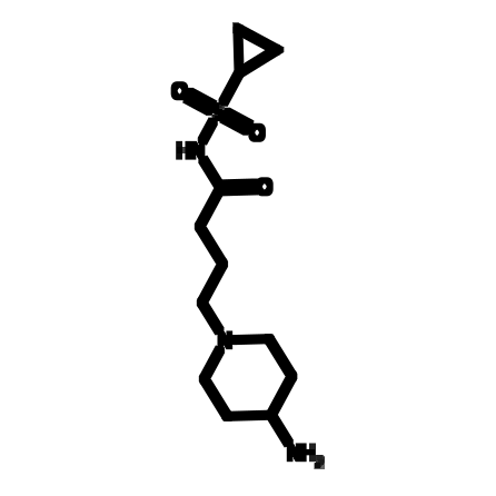 NC1CCN(CCCC(=O)NS(=O)(=O)C2CC2)CC1